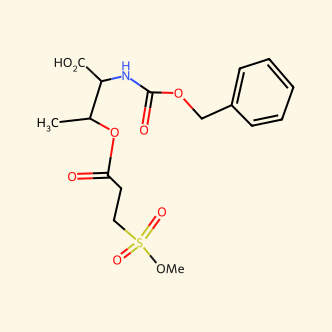 COS(=O)(=O)CCC(=O)OC(C)C(NC(=O)OCc1ccccc1)C(=O)O